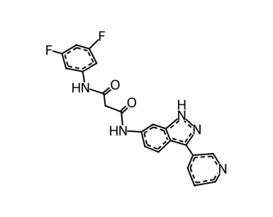 O=C(CC(=O)Nc1ccc2c(-c3cccnc3)n[nH]c2c1)Nc1cc(F)cc(F)c1